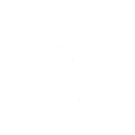 NC(=O)[C@H](CC1CCCC1)NC(=O)c1ccc(-c2cccc(Cl)c2)o1